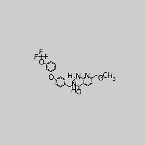 COCc1ccc(C(=O)NCc2ccc(Oc3cccc(OC(F)(F)F)c3)cc2)c(N)n1